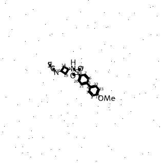 COc1ccc(-c2ccc(S(=O)(=O)N[C@H]3C[C@@H](N=C=S)C3)cc2)cc1